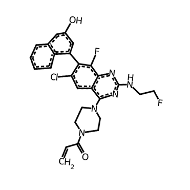 C=CC(=O)N1CCN(c2nc(NCCF)nc3c(F)c(-c4cc(O)cc5ccccc45)c(Cl)cc23)CC1